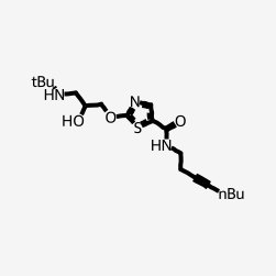 CCCCC#CCCNC(=O)c1cnc(OCC(O)CNC(C)(C)C)s1